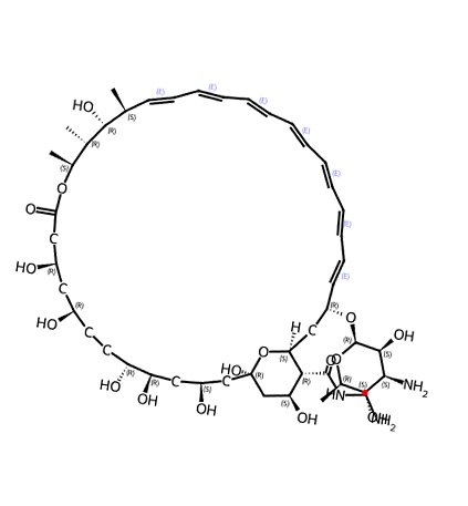 C[C@@H]1[C@H](O)[C@@H](C)/C=C/C=C/C=C/C=C/C=C/C=C/C=C/[C@H](O[C@@H]2O[C@H](C)[C@@H](O)[C@H](N)[C@@H]2O)C[C@@H]2O[C@](O)(C[C@@H](O)C[C@@H](O)[C@H](O)CC[C@@H](O)C[C@@H](O)CC(=O)O[C@H]1C)C[C@H](O)[C@H]2C(=O)NCN